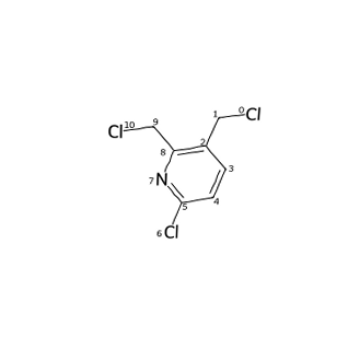 ClCc1ccc(Cl)nc1CCl